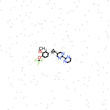 COc1cc([C@@H]2C[C@H]2c2cnc(-c3ncccn3)nc2)ccc1OC(F)(F)F